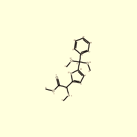 COC(=O)C(SC)c1ccc(C(OC)(OC)c2ccccc2)s1